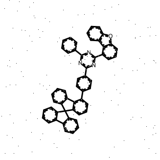 c1ccc(-c2nc(-c3ccc(-c4cccc5c4-c4ccccc4C54c5ccccc5-c5ccccc54)cc3)nc(-c3cccc4oc5ccccc5c34)n2)cc1